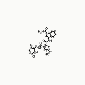 NC(=O)n1cc(NC(=O)N2C[C@@H](CO)C[C@H]2C(=O)NCc2c(F)ccc(Cl)c2F)c2ccccc21